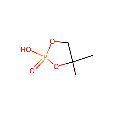 CC1(C)COP(=O)(O)O1